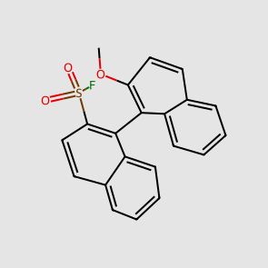 COc1ccc2ccccc2c1-c1c(S(=O)(=O)F)ccc2ccccc12